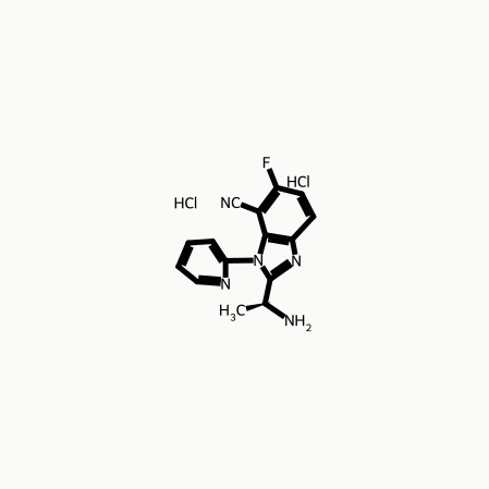 C[C@H](N)c1nc2ccc(F)c(C#N)c2n1-c1ccccn1.Cl.Cl